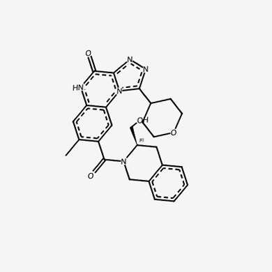 Cc1cc2[nH]c(=O)c3nnc(C4CCOCC4)n3c2cc1C(=O)N1Cc2ccccc2C[C@@H]1CO